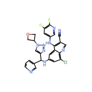 N#Cc1cnc2c(Cl)cc(NC(c3cccnc3)c3cn(C4COC4)nn3)cc2c1Nc1cnc(F)c(F)c1